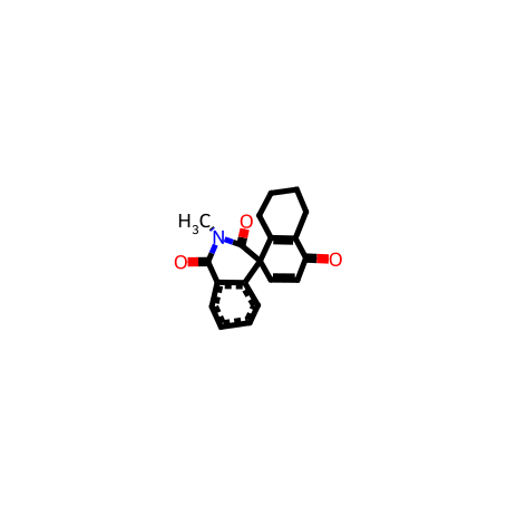 CN1C(=O)c2ccccc2C2(C=CC(=O)C3=C2CCCC3)C1=O